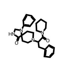 O=C(C(Cc1ccccc1)N1CCC2(CC1)C(=O)NCN2c1ccccc1)N1CCCCC1